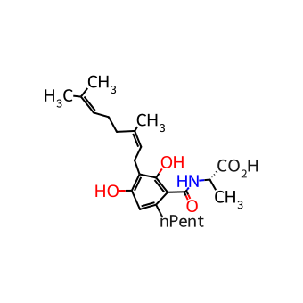 CCCCCc1cc(O)c(CC=C(C)CCC=C(C)C)c(O)c1C(=O)N[C@@H](C)C(=O)O